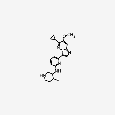 COc1cc2ncc(-c3cccc(NC4CNCCC4F)n3)n2nc1C1CC1